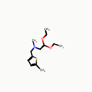 CCOC(CN(C)Cc1ccc(C)s1)OCC